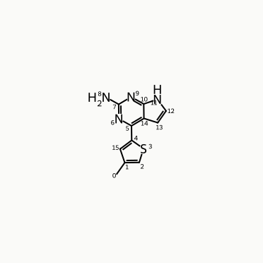 Cc1csc(-c2nc(N)nc3[nH]ccc23)c1